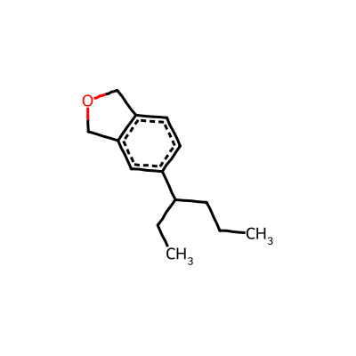 CCCC(CC)c1ccc2c(c1)COC2